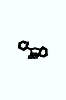 CNC(Cc1ccccc1NC(C)=O)c1ccccn1